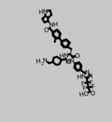 Cc1cc(C(=O)NC2CCC3NCCC32)ccc1-c1ccc(C[C@H](NC(=O)C2CCC(CN)CC2)C(=O)Nc2ccc(-c3nnc(C(F)(F)C(F)(F)C(=O)O)[nH]3)cc2)cc1